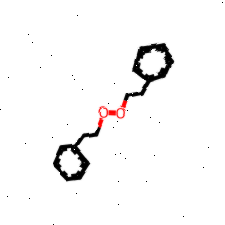 c1ccc(CCOOCCc2ccccc2)cc1